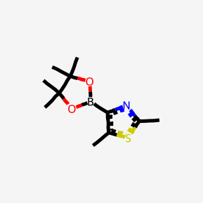 Cc1nc(B2OC(C)(C)C(C)(C)O2)c(C)s1